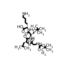 CC(C)C[C@H](NC(=O)CNC(=O)OC(C)(C)C)C(=O)N[C@@H](COC(C)(C)C)C(=O)N[C@@H](CCCCN)C(=O)O